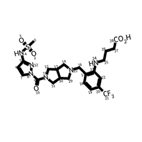 CS(=O)(=O)Nc1ccn(C(=O)N2CC3CN(Cc4ccc(C(F)(F)F)cc4NCCCC(=O)O)CC3C2)n1